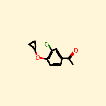 CC(=O)c1ccc(OC2CC2)c(Cl)c1